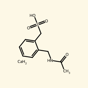 CC(=O)NCc1ccccc1CS(=O)(=O)O.[CaH2]